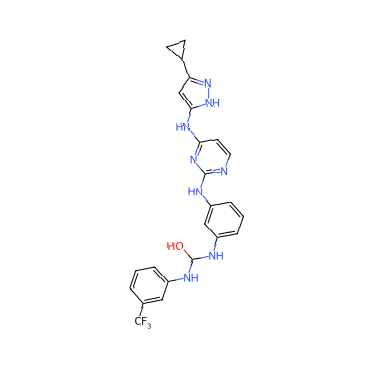 OC(Nc1cccc(Nc2nccc(Nc3cc(C4CC4)n[nH]3)n2)c1)Nc1cccc(C(F)(F)F)c1